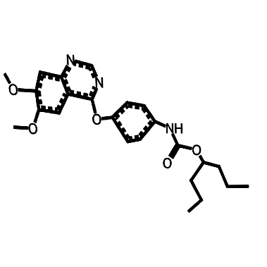 CCCC(CCC)OC(=O)Nc1ccc(Oc2ncnc3cc(OC)c(OC)cc23)cc1